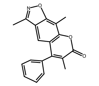 Cc1c(-c2ccccc2)c2cc3c(C)noc3c(C)c2oc1=O